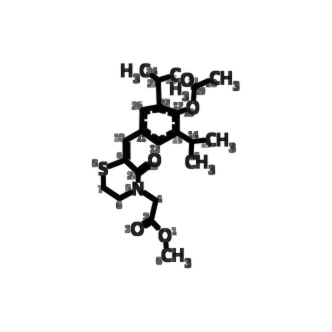 COC(=O)CN1CCS/C(=C/c2cc(C(C)C)c(OC(C)=O)c(C(C)C)c2)C1=O